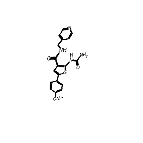 COc1ccc(-c2cc(C(=O)NCc3ccncc3)c(NC(N)=O)s2)cc1